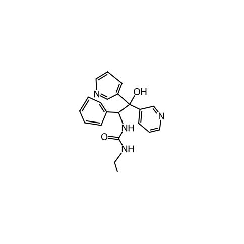 CCNC(=O)NC(c1ccccc1)C(O)(c1cccnc1)c1cccnc1